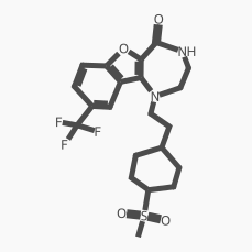 CS(=O)(=O)C1CCC(CCN2CCNC(=O)c3oc4ccc(C(F)(F)F)cc4c32)CC1